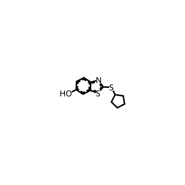 Oc1ccc2nc(SC3CCCC3)sc2c1